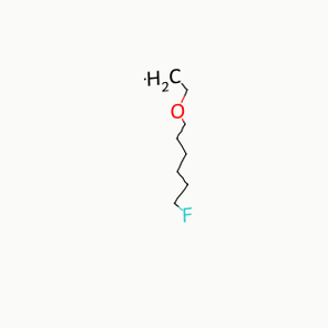 [CH2]COCCCCCCF